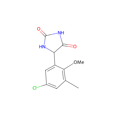 COc1c(C)cc(Cl)cc1C1NC(=O)NC1=O